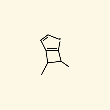 CC1c2ccsc2C1C